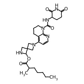 CCCCCC(C)C(=O)OC1NCC12CN(c1ccnc3c1CCCN3C(=O)NC1CCC(=O)NC1=O)C2